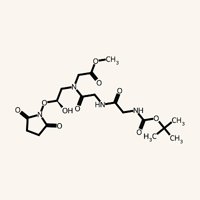 COC(=O)CN(C[C@@H](O)ON1C(=O)CCC1=O)C(=O)CNC(=O)CNC(=O)OC(C)(C)C